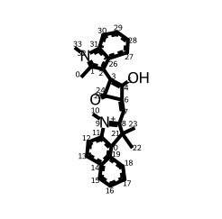 Cc1c(C2=C(O)/C(=C/C3=[N+](C)c4ccc5ccccc5c4C3(C)C)C2=O)c2ccccc2n1C